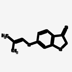 CC(C)=COc1ccc2c(c1)OCC2=O